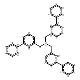 c1ccc(-c2cccc(CN(Cc3cccc(-c4ccccn4)n3)Cc3cccc(-c4ccccn4)n3)n2)nc1